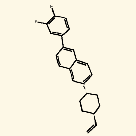 C=C[C@H]1CC[C@H](c2ccc3cc(-c4ccc(F)c(F)c4)ccc3c2)CC1